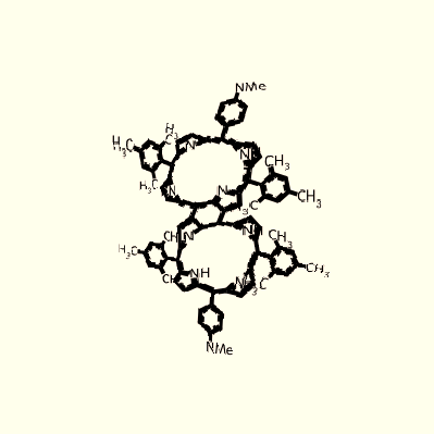 CNc1ccc(/C2=c3\cc/c([nH]3)=C(\c3c(C)cc(C)cc3C)C3=NC4C(=C3)c3c5nc(c(-c6c(C)cc(C)cc6C)c6ccc([nH]6)c(-c6ccc(NC)cc6)c6nc(c(-c7c(C)cc(C)cc7C)c7ccc3[nH]7)C=C6)C=C5C4c3ccc([nH]3)/C(c3c(C)cc(C)cc3C)=C3/C=CC2=N3)cc1